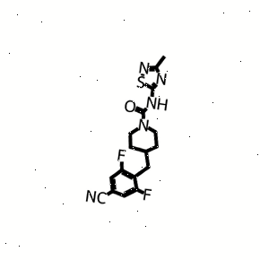 Cc1nsc(NC(=O)N2CCC(Cc3c(F)cc(C#N)cc3F)CC2)n1